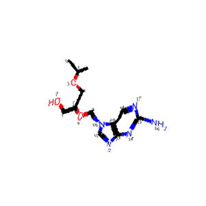 CC(C)OCC(CO)OCn1cnc2nc(N)ncc21